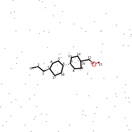 CCC[C@H]1CC[C@H](C2CCC(COC)CC2)CC1